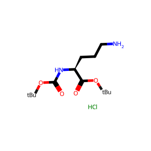 CC(C)(C)OC(=O)N[C@@H](CCCN)C(=O)OC(C)(C)C.Cl